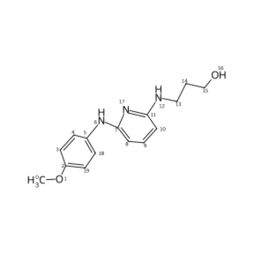 COc1ccc(Nc2cccc(NCCCO)n2)cc1